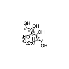 CCOCC.OC[C@@H](O)[C@@H](O)[C@H](O)[C@H](O)CO